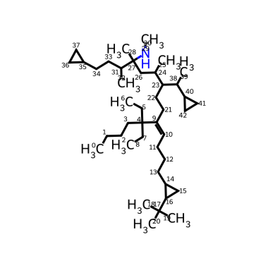 CCCCC(CC)(CC)/C(=C\CCCC1CC1C(C)(C)C)CCC(C(C)CC(C)(NC)C(C)CCC1CC1)C(C)C1CC1